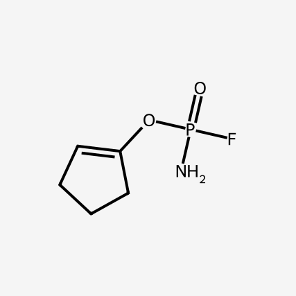 NP(=O)(F)OC1=CCCC1